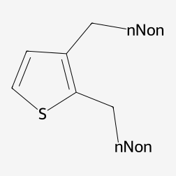 CCCCCCCCCCc1ccsc1CCCCCCCCCC